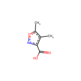 Cc1onc(C(=O)O)c1C